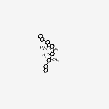 Cc1cc(Nc2ccc3c(c2)C(C)(C)c2cc(-c4ccc5ccccc5c4)ccc2-3)ccc1-c1ccc(-c2ccc3ccccc3c2)cc1C